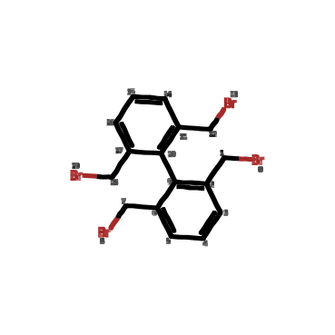 BrCc1cccc(CBr)c1-c1c(CBr)cccc1CBr